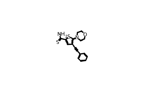 NC(=S)c1cc(C#Cc2ccccc2)c(N2CCOCC2)s1